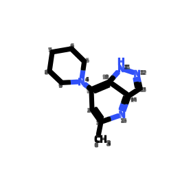 Cc1cc(N2CCCCC2)c2[nH]ncc2n1